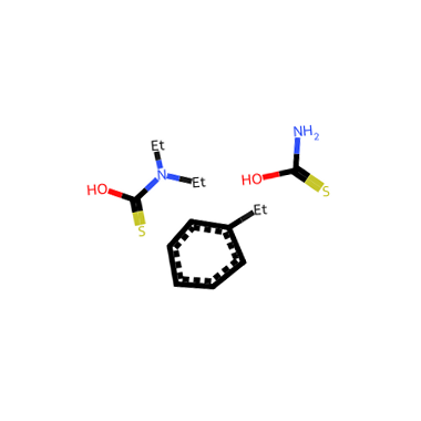 CCN(CC)C(O)=S.CCc1ccccc1.NC(O)=S